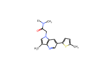 CCN(C)C(=O)Cn1cc(C)c2ncc(-c3ccc(C)s3)cc21